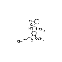 COc1cc(OC)c(C(=O)CCCCCl)cc1NS(=O)(=O)c1ccccc1Cl